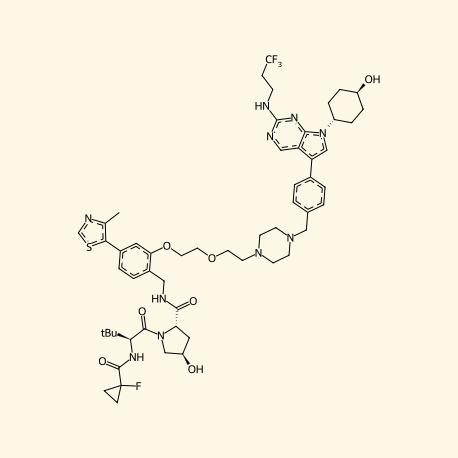 Cc1ncsc1-c1ccc(CNC(=O)[C@@H]2C[C@@H](O)CN2C(=O)[C@@H](NC(=O)C2(F)CC2)C(C)(C)C)c(OCCOCCN2CCN(Cc3ccc(-c4cn([C@H]5CC[C@H](O)CC5)c5nc(NCCC(F)(F)F)ncc45)cc3)CC2)c1